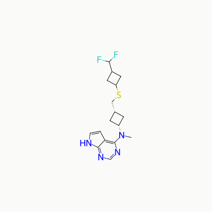 CN(c1ncnc2[nH]ccc12)[C@H]1C[C@@H](CSC2CC(C(F)F)C2)C1